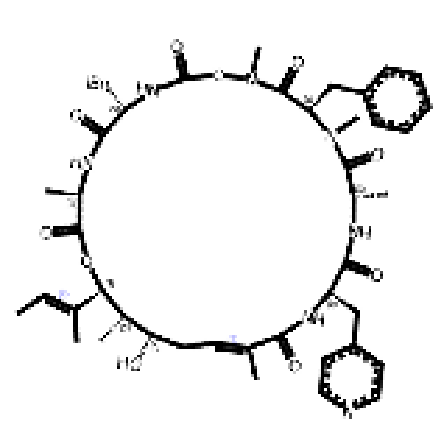 C/C=C(\C)[C@H]1OC(=O)[C@@H](C)NC(=O)[C@H](C(C)CC)NC(=O)CN(C)C(=O)[C@@H](Cc2ccccc2)N(C)C(=O)[C@H](C)NC(=O)[C@@H](Cc2ccncc2)NC(=O)/C(C)=C/C[C@H](O)[C@@H]1C